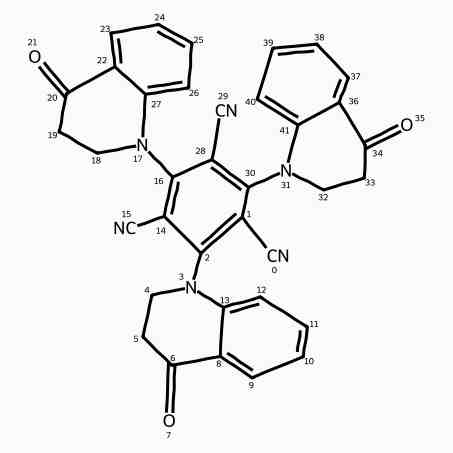 N#Cc1c(N2CCC(=O)c3ccccc32)c(C#N)c(N2CCC(=O)c3ccccc32)c(C#N)c1N1CCC(=O)c2ccccc21